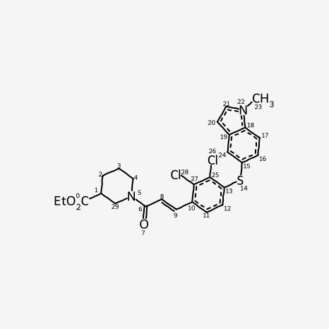 CCOC(=O)C1CCCN(C(=O)C=Cc2ccc(Sc3ccc4c(ccn4C)c3)c(Cl)c2Cl)C1